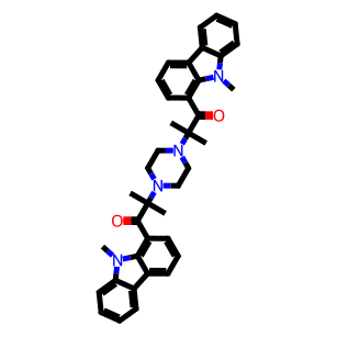 Cn1c2ccccc2c2cccc(C(=O)C(C)(C)N3CCN(C(C)(C)C(=O)c4cccc5c6ccccc6n(C)c45)CC3)c21